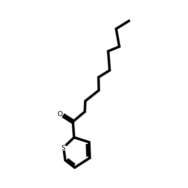 CCCCCCCCCC(=O)C1C=CC=CS1